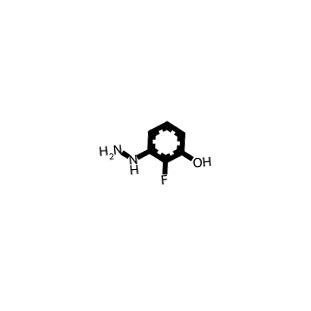 NNc1cccc(O)c1F